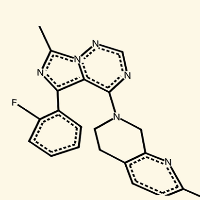 Cc1ccc2c(n1)CN(c1ncnn3c(C)nc(-c4ccccc4F)c13)CC2